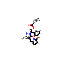 CC(C)(C)C(=O)OCC(NC(=O)C(C#N)=Cc1cccc(Br)n1)c1ccccc1